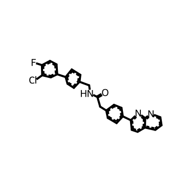 O=C(Cc1ccc(-c2ccc3cccnc3n2)cc1)NCc1ccc(-c2ccc(F)c(Cl)c2)cc1